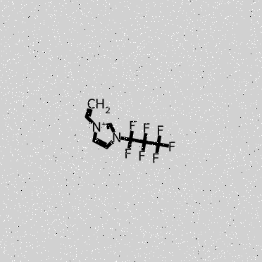 C=C[n+]1ccn(C(F)(F)C(F)(F)C(F)(F)F)c1